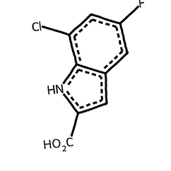 O=C(O)c1cc2cc(F)cc(Cl)c2[nH]1